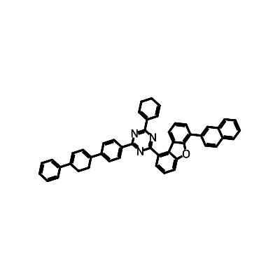 C1=CC(c2nc(-c3ccc(C4=CC=C(c5ccccc5)CC4)cc3)nc(-c3cccc4oc5c(-c6ccc7ccccc7c6)cccc5c34)n2)=CCC1